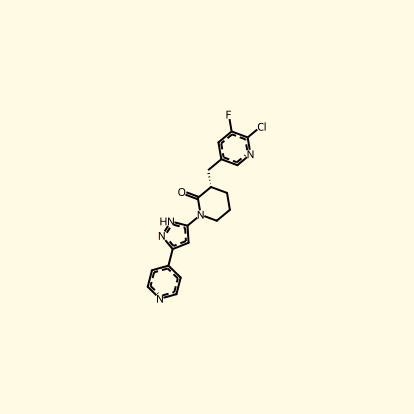 O=C1[C@H](Cc2cnc(Cl)c(F)c2)CCCN1c1cc(-c2ccncc2)n[nH]1